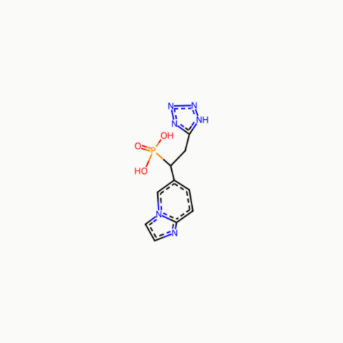 O=P(O)(O)C(Cc1nnn[nH]1)c1ccc2nccn2c1